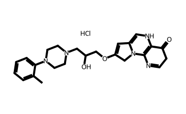 Cc1ccccc1N1CCN(CC(O)COC2=CC3=CNC4=C(N=CCC4=O)N3C2)CC1.Cl